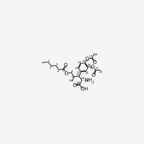 CCCCCC(=O)OCC(C)C(c1ccc(OC(C)=O)c(OC(C)=O)c1)[C@H](N)C(=O)O